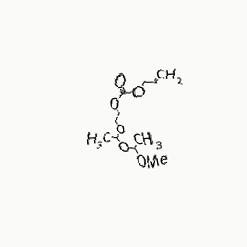 C=CCOC(=O)OCCOC(C)OC(C)OC